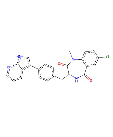 CN1C(=O)C(Cc2ccc(-c3c[nH]c4ncccc34)cc2)NC(=O)c2cc(Cl)ccc21